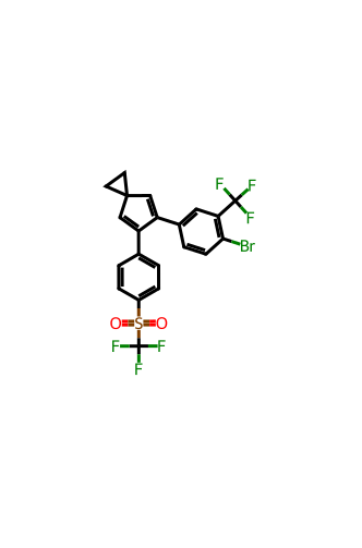 O=S(=O)(c1ccc(C2=CC3(C=C2c2ccc(Br)c(C(F)(F)F)c2)CC3)cc1)C(F)(F)F